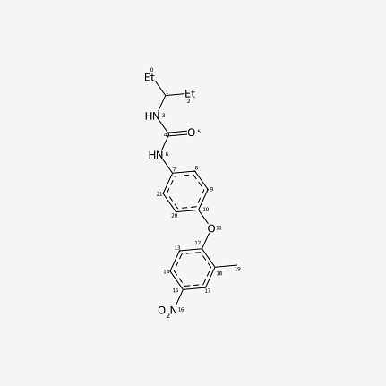 CCC(CC)NC(=O)Nc1ccc(Oc2ccc([N+](=O)[O-])cc2C)cc1